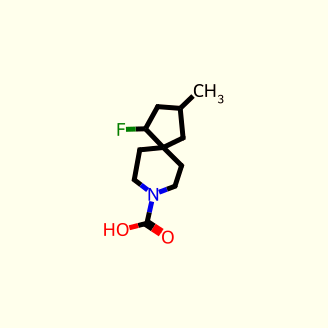 CC1CC(F)C2(CCN(C(=O)O)CC2)C1